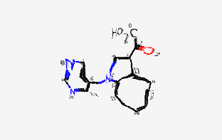 O=C(O)C(=O)c1cn(-c2cncnc2)c2ccccc12